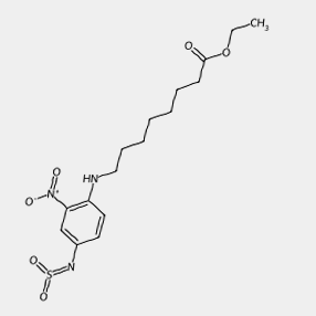 CCOC(=O)CCCCCCCNc1ccc(N=S(=O)=O)cc1[N+](=O)[O-]